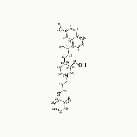 COc1ccc2nccc(C(F)CC[C@@H]3CCN(CCCSc4ccccc4F)C[C@@H]3CO)c2c1